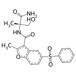 Cc1oc2ccc(S(=O)(=O)c3ccccc3)cc2c1C(=O)N[C@@](C)(CO)C(N)=O